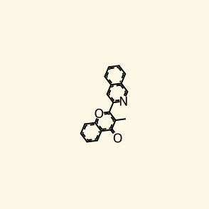 Cc1c(-c2cc3ccccc3cn2)oc2ccccc2c1=O